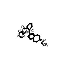 NC(=O)[C@]1(Nc2ccncn2)CCCC[C@]1(Cl)Nc1ccc2c(c1)CCC(NCC(F)(F)F)CC2